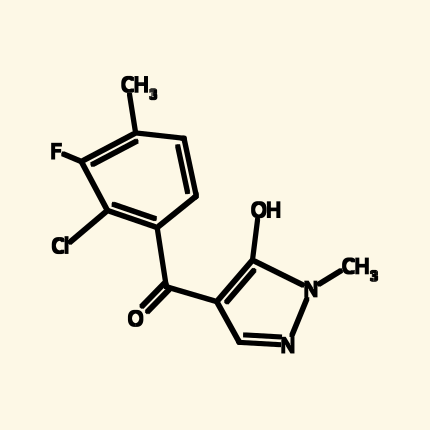 Cc1ccc(C(=O)c2cnn(C)c2O)c(Cl)c1F